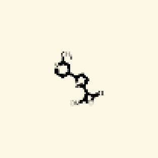 Cc1cc(-c2ccc(C3=C(N=O)OC3=O)s2)ccn1